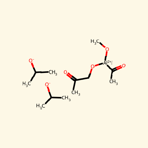 CC(C)[O-].CC(C)[O-].C[O][Al+2]([O]CC(C)=O)[C](C)=O